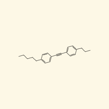 CCCCCc1ccc(C#Cc2ccc(CCC)cc2)cc1